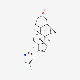 C[C@]12CCC(=O)C=C1C1CC1[C@@H]1[C@@H]2CC[C@]2(C)C(c3cncc(F)c3)=CC[C@@H]12